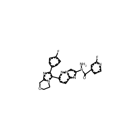 NN(C(=O)c1ccnc(F)c1)c1cn2nc(-c3c(-c4ccc(F)cc4)nc4n3CCOC4)ccc2n1